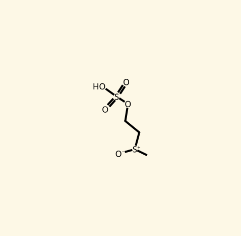 C[S+]([O-])CCOS(=O)(=O)O